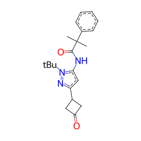 CC(C)(C(=O)Nc1cc(C2CC(=O)C2)nn1C(C)(C)C)c1ccccc1